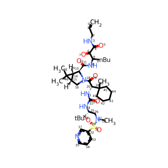 C=CCNC(=O)C(=O)C(CCCC)NC(=O)[C@@H]1[C@@H]2[C@H](CN1C(=O)[C@@H](NC(=O)N[C@H](CN(C)S(=O)(=O)c1cccnc1)C(C)(C)C)C1(C)CCCCC1)C2(C)C